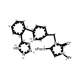 CCCCCc1cn(C(C)C)c(=O)n1Cc1ccc(-c2ccccc2-c2nnn[nH]2)nc1